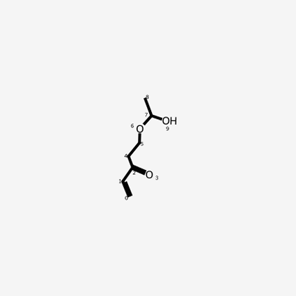 C=CC(=O)CCOC(C)O